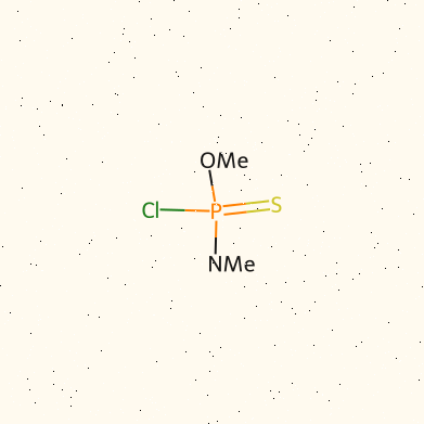 CNP(=S)(Cl)OC